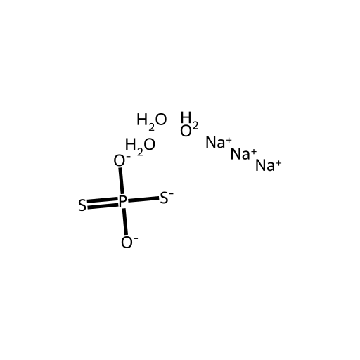 O.O.O.[Na+].[Na+].[Na+].[O-]P([O-])(=S)[S-]